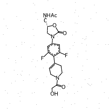 CC(=O)NC[C@H]1CN(c2cc(F)c(C3=CCN(C(=O)CO)CC3)c(F)c2)C(=O)O1